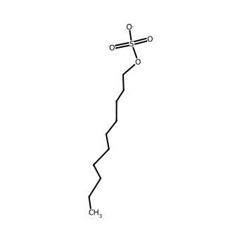 CCCCCCCCCCOS([O])(=O)=O